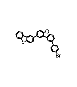 Brc1ccc(-c2ccc3oc4ccc(-c5ccc6sc7ccccc7c6c5)cc4c3c2)cc1